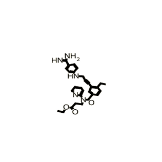 CCOC(=O)CCN(C(=O)c1ccc(CC)c(C#CCNc2ccc(C(=N)N)cc2)c1)c1ccccn1